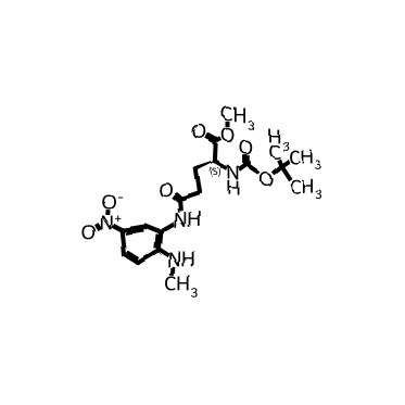 CNc1ccc([N+](=O)[O-])cc1NC(=O)CC[C@H](NC(=O)OC(C)(C)C)C(=O)OC